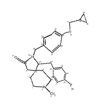 CN1CCC2(CC1)CC(=O)N(Cc1ccc(OCC3CC3)cc1)C2Cc1ccc(F)cc1